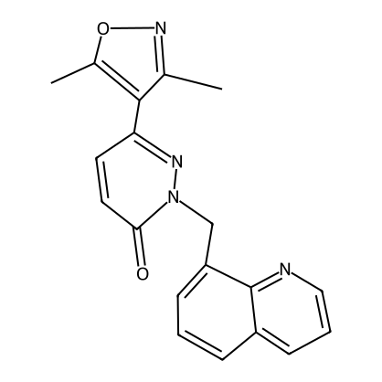 Cc1noc(C)c1-c1ccc(=O)n(Cc2cccc3cccnc23)n1